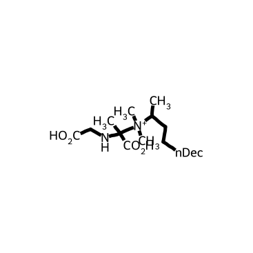 CCCCCCCCCCCCC(C)[N+](C)(C)C(C)(NCC(=O)O)C(=O)O